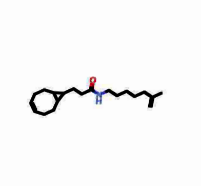 C=C(C)CCCCCNC(=O)CCC1C2CC/C=C\CCC21